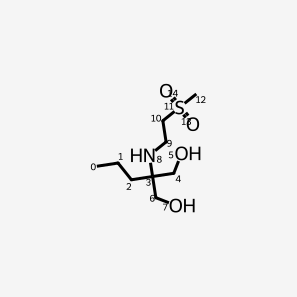 CCCC(CO)(CO)NCCS(C)(=O)=O